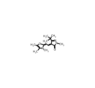 CC1=C(C)N(C)/C(=C\C=C2\C(=O)N(C)N=C2C(C)(C)C)O1